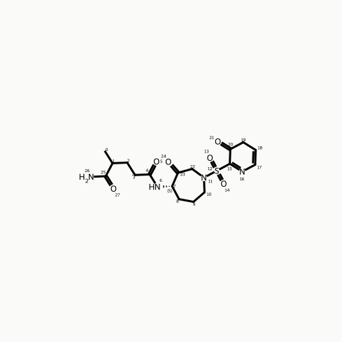 CC(C[CH]C(=O)N[C@H]1CCCN(S(=O)(=O)C2=NC=CCC2=O)CC1=O)C(N)=O